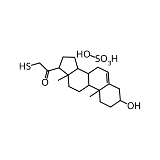 CC12CCC(O)CC1=CCC1C2CCC2(C)C(C(=O)CS)CCC12.O=S(=O)(O)O